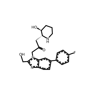 O=C(C[C@H]1NCCC[C@@H]1O)Cn1c(CO)nc2ccc(-c3ccc(F)cc3)cc21